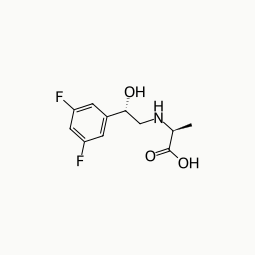 C[C@H](NC[C@@H](O)c1cc(F)cc(F)c1)C(=O)O